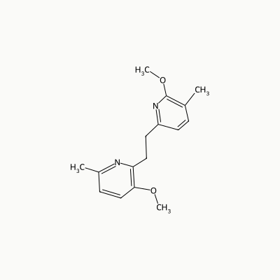 COc1ccc(C)nc1CCc1ccc(C)c(OC)n1